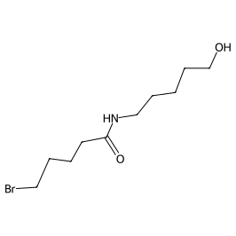 O=C(CCCCBr)NCCCCCO